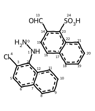 NNc1c(Cl)ccc2ccccc12.O=Cc1ccc2ccccc2c1S(=O)(=O)O